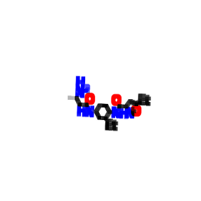 CCc1cc(C(=O)N[C@@H]2CC[C@@H](NC(=O)C[C@H](C)N)C[C@@H]2CC)no1